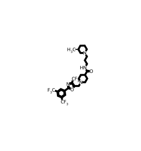 C[C@H]1CCCN(CCCNC(=O)C2CCN(Cc3oc(-c4cc(C(F)(F)F)cc(C(F)(F)F)c4)nc3C(F)(F)F)CC2)C1